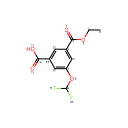 CCOC(=O)c1cc(OC(F)F)cc(C(=O)O)c1